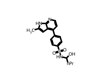 CCCC(O)NS(=O)(=O)c1ccc(-c2ccnc3[nH]c(C)cc23)cc1